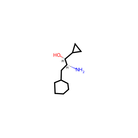 N[C@H](CC1CCCCC1)[C@H](O)C1CC1